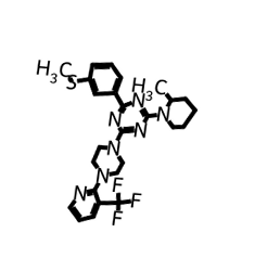 CSc1cccc(-c2nc(N3CCN(c4ncccc4C(F)(F)F)CC3)nc(N3CCCCC3C)n2)c1